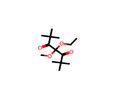 CCOC(OC)(C(=O)C(C)(C)C)C(=O)C(C)(C)C